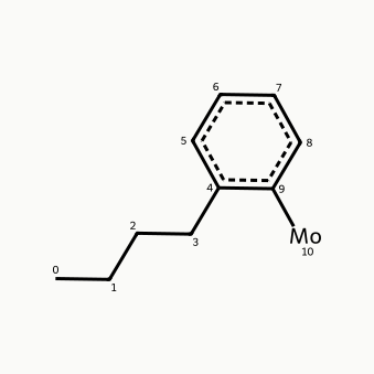 CCCCc1cccc[c]1[Mo]